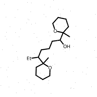 [CH2]CC(CCCC(O)C1(C)CCCCO1)C1(C)CCCCO1